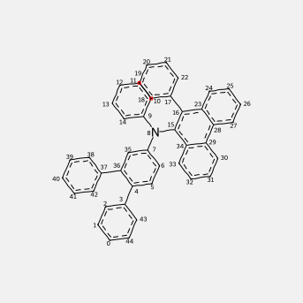 c1ccc(-c2ccc(N(c3ccccc3)c3c(-c4ccccc4)c4ccccc4c4ccccc34)cc2-c2ccccc2)cc1